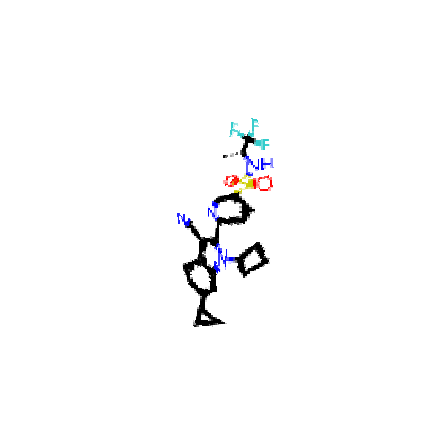 C[C@@H](NS(=O)(=O)c1ccc(-c2c(C#N)c3ccc(C4CC4)cc3n2C2CCC2)nc1)C(F)(F)F